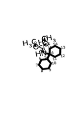 CO[SiH](NC1(C2CCCCC2)CCCCC1)OC